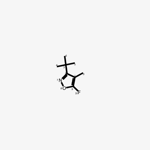 Cc1c(C(C)(C)C)noc1F